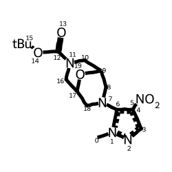 Cn1ncc([N+](=O)[O-])c1N1CC2CN(C(=O)OC(C)(C)C)CC(C1)O2